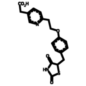 O=C(O)Cc1ccc(CCOc2ccc(CC3SC(=O)NC3=O)cc2)nc1